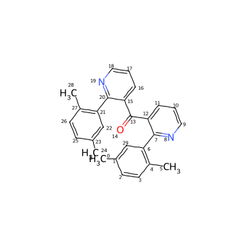 Cc1ccc(C)c(-c2ncccc2C(=O)c2cccnc2-c2cc(C)ccc2C)c1